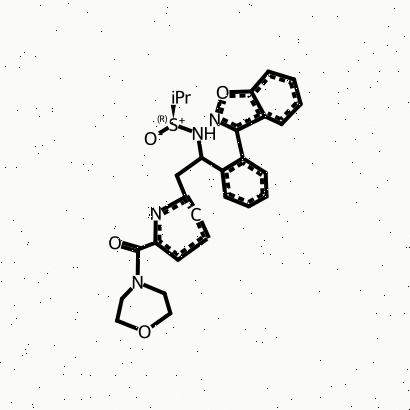 CC(C)[S@+]([O-])NC(Cc1cccc(C(=O)N2CCOCC2)n1)c1ccccc1-c1noc2ccccc12